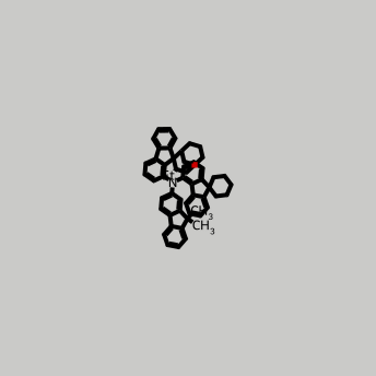 CCC1CC2CCCC(C2)C12c1ccccc1-c1cccc(N(c3ccc4c(c3)C(C)(C)c3ccccc3-4)c3cccc4c3-c3ccccc3C43CCCCC3)c12